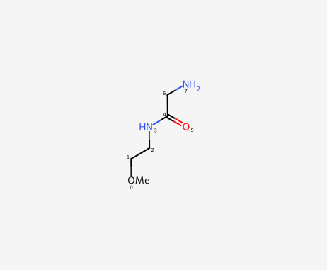 COCCNC(=O)CN